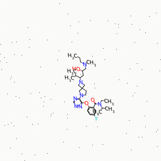 CCCN(C)CC(O)CC(C(C)C)N1CC2(CCN(c3ncnnc3Oc3ccc(F)cc3C(=O)N(CC)C(C)C)C2)C1